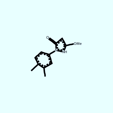 COc1cc(=O)n(-c2ccc(C)c(C)c2)[nH]1